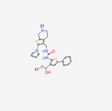 CCOC(O)c1cc(-c2ccccc2)sc1NC(=O)NCc1c(-n2cccc2)sc2c1CCN(CC)C2